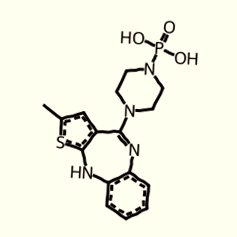 Cc1cc2c(s1)Nc1ccccc1N=C2N1CCN(P(=O)(O)O)CC1